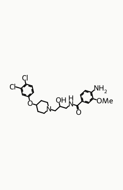 COc1cc(C(=O)NCC(O)CN2CCC(Oc3ccc(Cl)c(Cl)c3)CC2)ccc1N